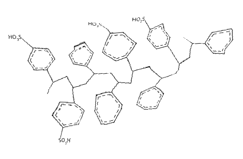 CC(CC(CC(CC(CC(CC(CC(CC(C)c1ccccc1)c1ccc(S(=O)(=O)O)cc1)c1ccccc1)c1ccc(S(=O)(=O)O)cc1)c1ccccc1)c1ccccc1)c1ccc(S(=O)(=O)O)cc1)c1ccc(S(=O)(=O)O)cc1